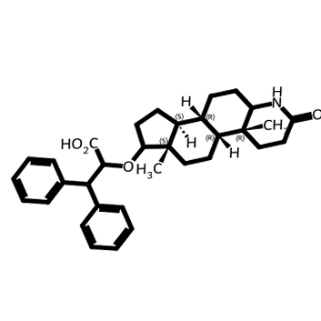 C[C@]12CCC(=O)NC1CC[C@@H]1[C@H]2CC[C@]2(C)C(OC(C(=O)O)C(c3ccccc3)c3ccccc3)CC[C@@H]12